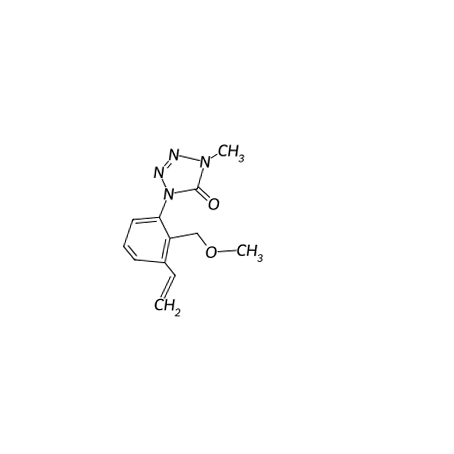 C=Cc1cccc(-n2nnn(C)c2=O)c1COC